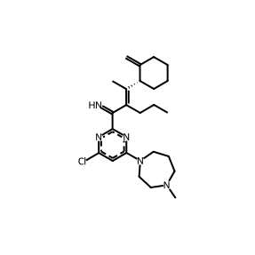 C=C1CCCC[C@@H]1/C(C)=C(\CCC)C(=N)c1nc(Cl)cc(N2CCCN(C)CC2)n1